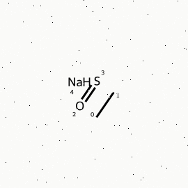 CC.O=S.[NaH]